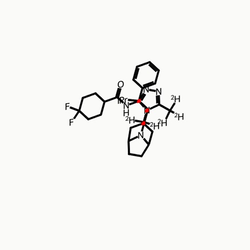 [2H]C([2H])([2H])c1nnc(C(C)C)n1C1CC2CCC(C1)N2C([2H])([2H])CC(NC(=O)C1CCC(F)(F)CC1)c1ccccc1